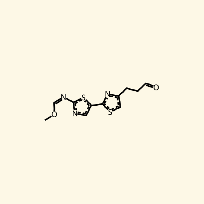 CO/C=N\c1ncc(-c2nc(CCC=O)cs2)s1